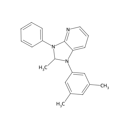 Cc1cc(C)cc(N2c3cccnc3N(c3ccccc3)C2C)c1